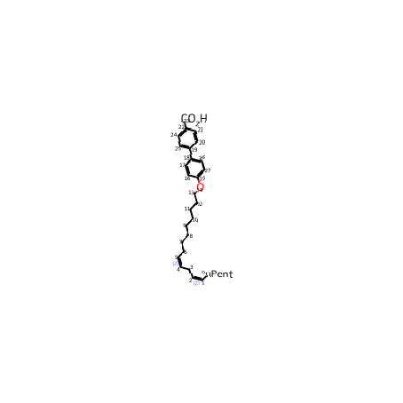 CCCCC/C=C\C/C=C\CCCCCCCCOc1ccc(-c2ccc(C(=O)O)cc2)cc1